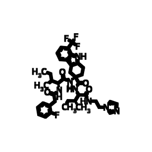 CCC(C)[C@H](NC(=O)Cc1ccccc1F)C(=O)N[C@]1(C(=O)NC(C(=O)NCCn2ccnc2)[C@@H](C)CC)CCc2[nH]c3c(C(F)(F)F)cccc3c2C1